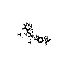 CCS(=O)(=O)c1ccc(CNC(O)c2sc3nnc(C)c(C)c3c2N)cc1